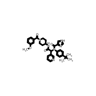 COc1cccc(C(=O)N2CCC(NC(=O)C(c3cccnc3)N(C(=O)c3c[nH]cn3)c3ccc(C(C)(C)C)cc3)CC2)c1